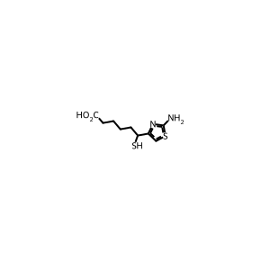 Nc1nc(C(S)CCCCC(=O)O)cs1